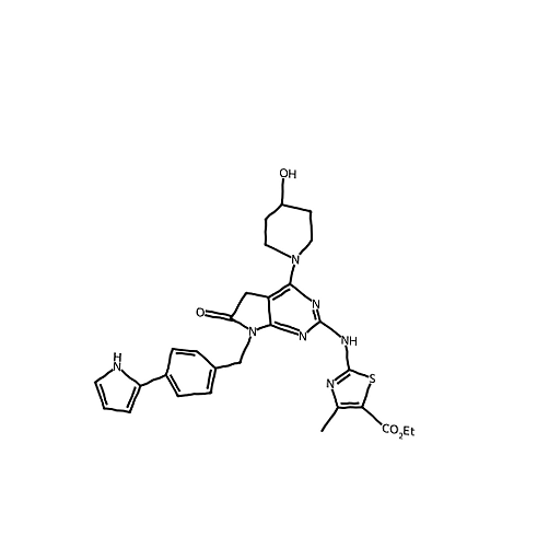 CCOC(=O)c1sc(Nc2nc(N3CCC(O)CC3)c3c(n2)N(Cc2ccc(-c4ccc[nH]4)cc2)C(=O)C3)nc1C